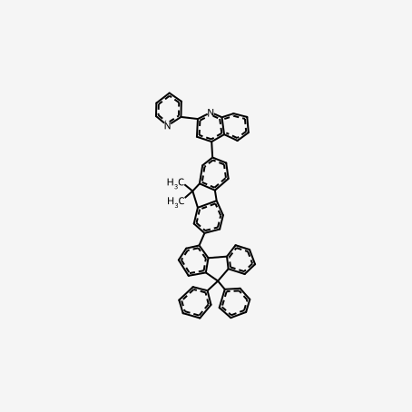 CC1(C)c2cc(-c3cccc4c3-c3ccccc3C4(c3ccccc3)c3ccccc3)ccc2-c2ccc(-c3cc(-c4ccccn4)nc4ccccc34)cc21